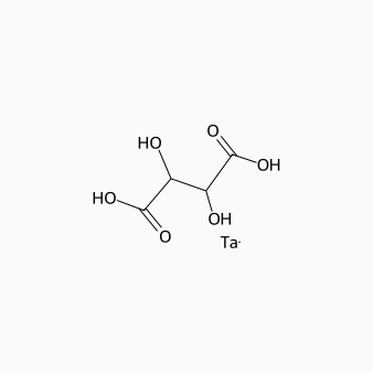 O=C(O)C(O)C(O)C(=O)O.[Ta]